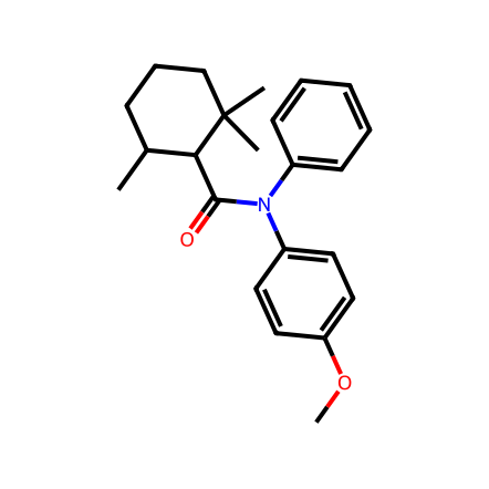 COc1ccc(N(C(=O)C2C(C)CCCC2(C)C)c2ccccc2)cc1